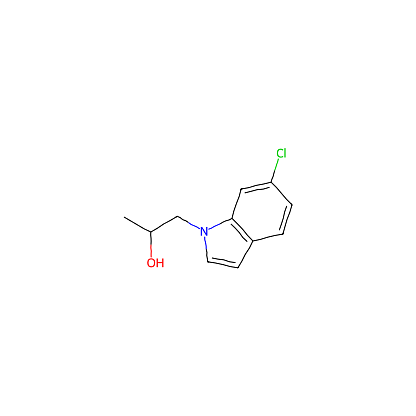 CC(O)Cn1ccc2ccc(Cl)cc21